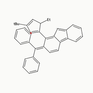 CCC1C=C(C(C)(C)C)C=C1c1c2c(ccc1=C(c1ccccc1)c1ccccc1)=c1ccccc1=[C]2